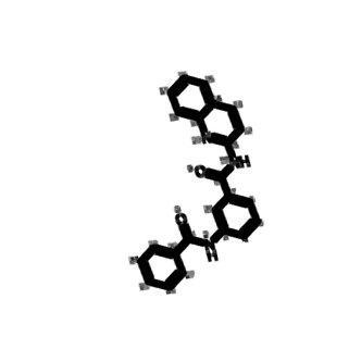 O=C(Nc1cccc(C(=O)Nc2ccc3ccccc3n2)c1)c1ccccc1